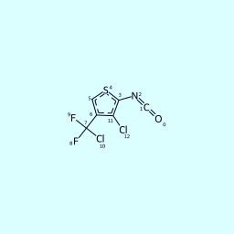 O=C=Nc1scc(C(F)(F)Cl)c1Cl